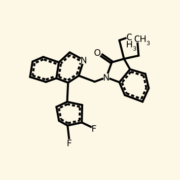 CCC1(CC)C(=O)N(Cc2ncc3ccccc3c2-c2ccc(F)c(F)c2)c2ccccc21